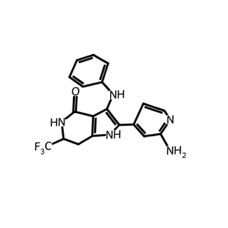 Nc1cc(-c2[nH]c3c(c2Nc2ccccc2)C(=O)NC(C(F)(F)F)C3)ccn1